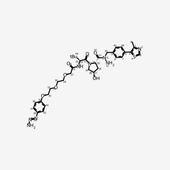 Cc1ncsc1-c1ccc(CN(N)C(=O)[C@@H]2C[C@@H](O)CN2C(=O)[C@@H](NC(=O)COCCOCCOc2ccc(N=NN)cc2)C(C)(C)C)cc1